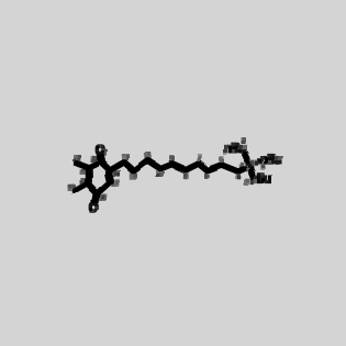 CCCC[N+](CCCC)(CCCC)CCCCCCCCCCC1=CC(=O)C(C)=C(C)C1=O